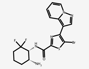 N[C@@H]1CCCC(F)(F)[C@@H]1NC(=O)c1nc(-c2cnn3ccccc23)c(Br)s1